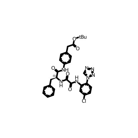 CC(C)(C)OC(=O)Cc1ccc(NC(=O)[C@H](Cc2ccccc2)NC(=O)C(=O)Nc2cc(Cl)ccc2-n2cnnn2)cc1